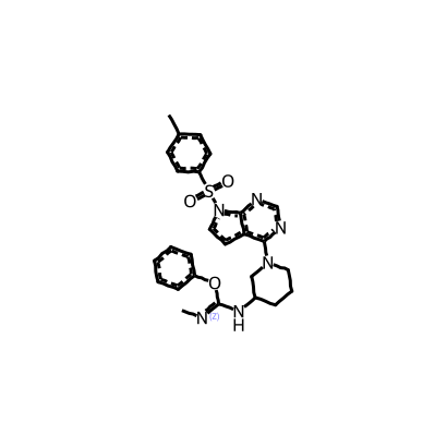 C/N=C(/NC1CCCN(c2ncnc3c2ccn3S(=O)(=O)c2ccc(C)cc2)C1)Oc1ccccc1